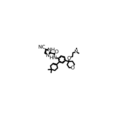 CN(C)CCOC1(c2ccc(NC(=O)c3ncc(C#N)[nH]3)c(C3=CCC(C)(C)CC3)c2)CCOCC1